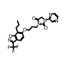 CCCc1c(OCCCN2C(=O)CN(c3cnccn3)C2=O)ccc2c(C(F)(F)F)noc12